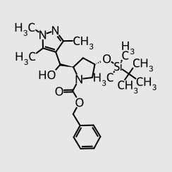 Cc1nn(C)c(C)c1C(O)[C@H]1C[C@H](O[Si](C)(C)C(C)(C)C)CN1C(=O)OCc1ccccc1